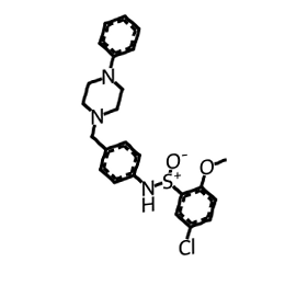 COc1ccc(Cl)cc1[S+]([O-])Nc1ccc(CN2CCN(c3ccccc3)CC2)cc1